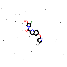 O=C(c1ccc2cc(Oc3ccc(C(F)(F)F)cn3)ccc2n1)N1CC(O)C(F)C1